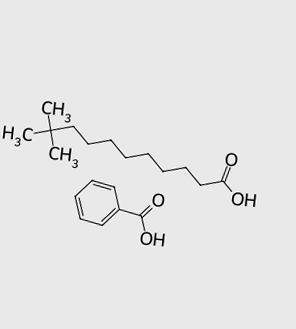 CC(C)(C)CCCCCCCCC(=O)O.O=C(O)c1ccccc1